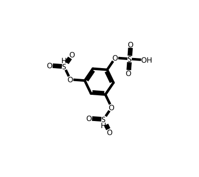 O=[SH](=O)Oc1cc(O[SH](=O)=O)cc(OS(=O)(=O)O)c1